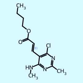 CCCCOC(=O)/C=C/c1c(Cl)nc(C)nc1NC